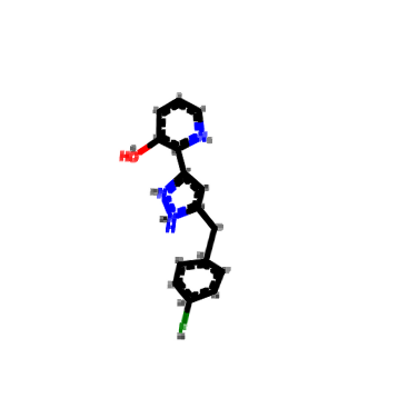 Oc1cccnc1-c1cc(Cc2ccc(F)cc2)[nH]n1